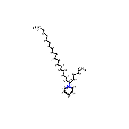 CCCCCCCCCCCCCCCCCCCC(CCCC)[n+]1ccccc1